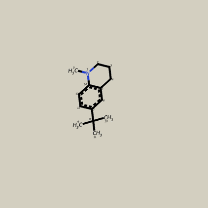 CN1CC[CH]c2cc(C(C)(C)C)ccc21